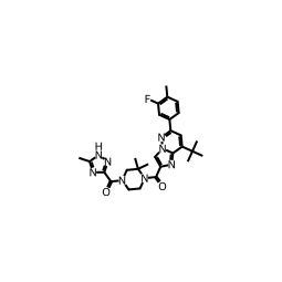 Cc1nc(C(=O)N2CCN(C(=O)c3cn4nc(-c5ccc(C)c(F)c5)cc(C(C)(C)C)c4n3)C(C)(C)C2)n[nH]1